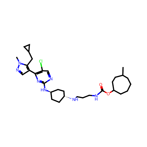 CC1CCCCC(OC(=O)NCCCN[C@H]2CC[C@H](Nc3ncc(Cl)c(-c4cnn(C)c4CC4CC4)n3)CC2)CC1